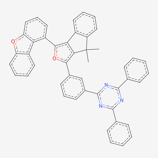 CC1(C)c2ccccc2-c2c(-c3cccc4oc5ccccc5c34)oc(-c3cccc(-c4nc(-c5ccccc5)nc(-c5ccccc5)n4)c3)c21